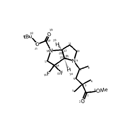 COC(=O)C(C)(C)CC(C)N1CC[C@H]2[C@@H]1C(F)(F)CN2C(=O)OC(C)(C)C